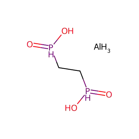 O=[PH](O)CC[PH](=O)O.[AlH3]